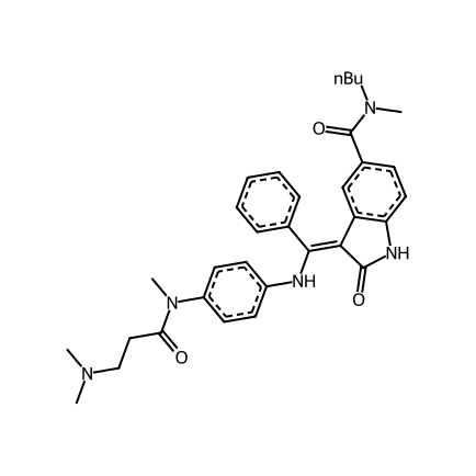 CCCCN(C)C(=O)c1ccc2c(c1)/C(=C(/Nc1ccc(N(C)C(=O)CCN(C)C)cc1)c1ccccc1)C(=O)N2